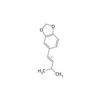 CC(C)/C=C/c1ccc2c(c1)OCO2